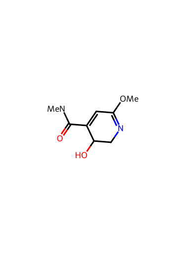 CNC(=O)C1=CC(OC)=NCC1O